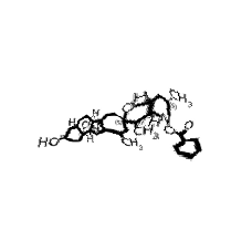 CC1=C2C[C@H]3[C@@H](CC[C@@H]4C[C@H](O)CC[C@@]43C)[C@@H]2CC[C@@]2(C1)O[C@@H]1C[C@H](C)CN(OC(=O)c3ccccc3)[C@H]1[C@H]2C